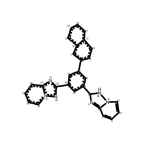 C1=CC2=NC(c3cc(-c4ccc5ccccc5c4)cc(-c4nc5ccccn5n4)c3)NN2C=C1